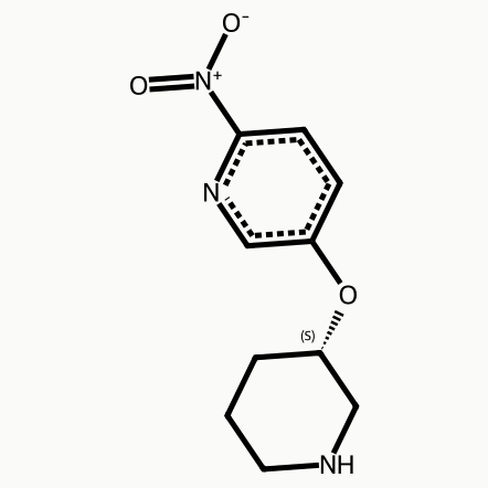 O=[N+]([O-])c1ccc(O[C@H]2CCCNC2)cn1